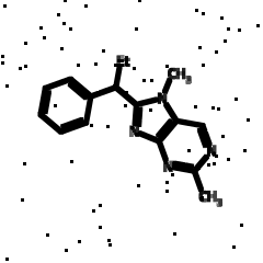 CCC(c1ccccc1)c1nc2nc(C)ncc2n1C